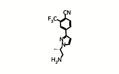 C[C@@H](CN)n1ccc(-c2ccc(C#N)c(C(F)(F)F)c2)n1